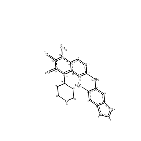 Cc1cc2nsnc2cc1Nc1ncc2c(n1)n(C1CCOCC1)c(=O)c(=O)n2C